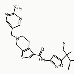 CC(CF)(c1cc(NC(=O)c2csc3c2CCN(Cc2cnc(N)nc2)C3)no1)C(F)F